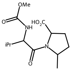 COC(=O)NC(C(=O)N1C(C)CCC1C(=O)O)C(C)C